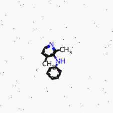 Cc1ccnc(C)c1Nc1ccccc1